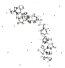 COC(=O)N[C@H](C(=O)N1CCC[C@H]1c1ncc(-c2ccc(CCCc3ccc4[nH]c([C@@H]5CCCN5C(=O)[C@@H](NC(=O)OC)C(C)C)nc4c3)cc2)[nH]1)C(C)C